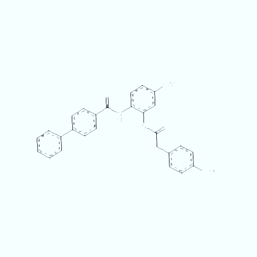 COc1ccc(CC(=O)Nc2cc(OC)ccc2NC(=O)c2ccc(-c3ccccc3)cc2)cc1